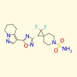 NS(=O)(=O)N1CCC2(CC1)[C@H](c1noc(-c3cnn4c3CCCC4)n1)C2(F)F